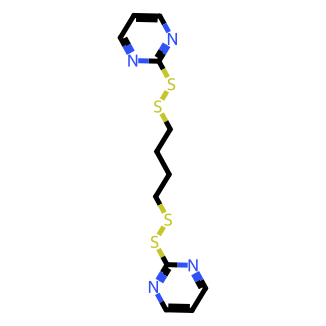 c1cnc(SSCCCCSSc2ncccn2)nc1